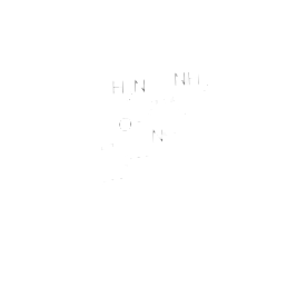 Cc1cc(C)c(Oc2nccc(N)c2N)c(C)c1